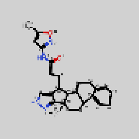 Cc1cc(NC(=O)CC[C@@H]2c3c[nH]nc3[C@@]3(C)CCC4C5=CCCC=C5CCC4C23)no1